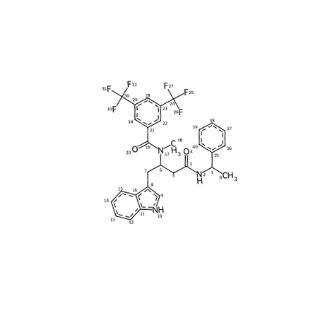 CC(NC(=O)CC(Cc1c[nH]c2ccccc12)N(C)C(=O)c1cc(C(F)(F)F)cc(C(F)(F)F)c1)c1ccccc1